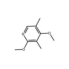 COc1n[c]c(C)c(OC)c1C